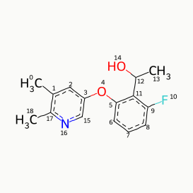 Cc1cc(Oc2cccc(F)c2C(C)O)cnc1C